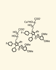 COc1ccc(NC(=O)c2c(-c3ccccc3)c(-c3ccc(F)cc3)n(CC[C@@H](O)C[C@@H](O)CC(=O)[O-])c2C(C)C)c(OC)c1.COc1ccc(NC(=O)c2c(-c3ccccc3)c(-c3ccc(F)cc3)n(CC[C@@H](O)C[C@@H](O)CC(=O)[O-])c2C(C)C)c(OC)c1.[Ca+2]